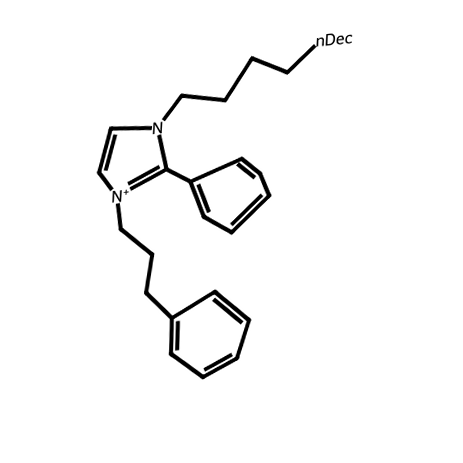 CCCCCCCCCCCCCCn1cc[n+](CCCc2ccccc2)c1-c1ccccc1